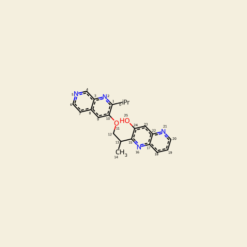 CC(C)c1nc2cnccc2cc1OCC(C)c1nc2cccnc2cc1O